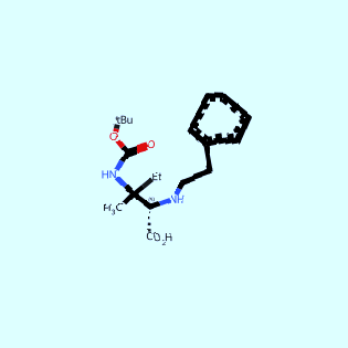 CCC(C)(NC(=O)OC(C)(C)C)[C@H](NCCc1ccccc1)C(=O)O